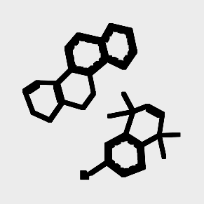 C1=CC2=C(CC1)CCc1c2ccc2ccccc12.CC1(C)C=CC(C)(C)c2cc(Br)ccc21